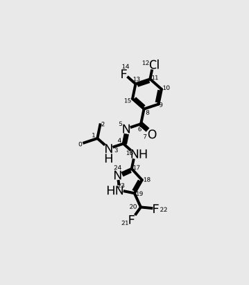 CC(C)N/C(=N/C(=O)c1ccc(Cl)c(F)c1)Nc1cc(C(F)F)[nH]n1